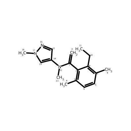 C=C(c1c(C)ccc(C)c1CC)N(C)c1cnn(C)c1